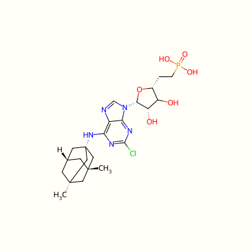 C[C@]12C[C@@H]3C[C@](C)(C1)C[C@@](Nc1nc(Cl)nc4c1ncn4[C@@H]1O[C@H](CCP(=O)(O)O)C(O)[C@@H]1O)(C3)C2